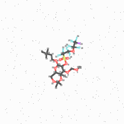 CCOCOC1C(OS(=O)(=O)C(F)(F)C(F)(F)OC(F)(F)C(F)(F)I)[C@H](OCC[Si](C)(C)C)OC2COC(C)(C)O[C@H]21